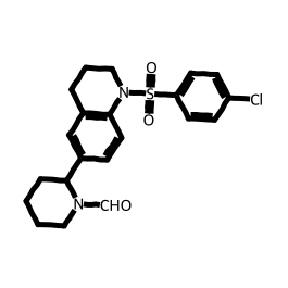 O=CN1CCCCC1c1ccc2c(c1)CCCN2S(=O)(=O)c1ccc(Cl)cc1